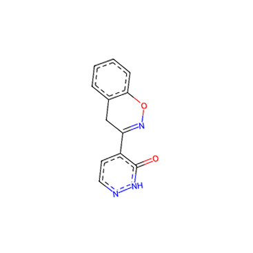 O=c1[nH]nccc1C1=NOc2ccccc2C1